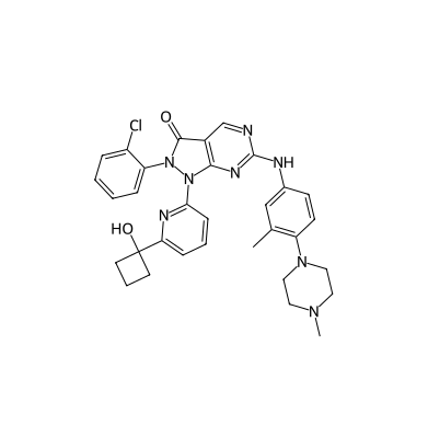 Cc1cc(Nc2ncc3c(=O)n(-c4ccccc4Cl)n(-c4cccc(C5(O)CCC5)n4)c3n2)ccc1N1CCN(C)CC1